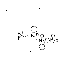 CC1(C(=O)N2CC3(C2)C(=O)N(CC2=NC4CCCCC4N2CCCC(F)(F)F)c2ccccc23)CC1